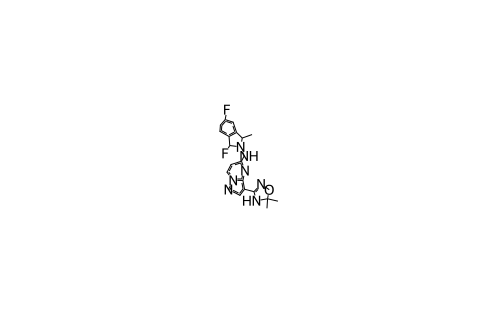 CC1c2cc(F)ccc2C(F)N1Nc1ccn2ncc(C3=NOC(C)(C)N3)c2n1